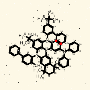 Cc1ccc(-c2ccccc2)cc1N1c2cc3c(cc2B2c4cc(N(c5ccccc5)c5ccccc5)ccc4N(c4ccc(C(C)(C)C)cc4-c4ccccc4)c4cc(C(C)(C)C)cc1c42)C(C)(C)CCC3(C)C